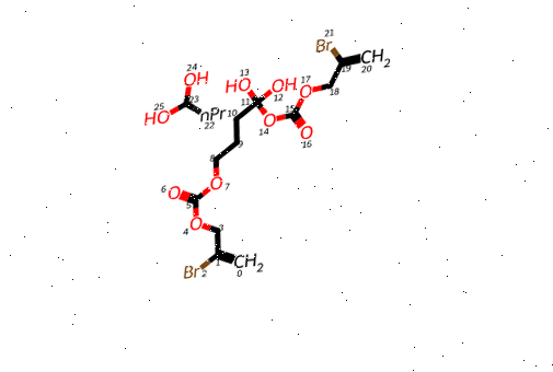 C=C(Br)COC(=O)OCCCC(O)(O)OC(=O)OCC(=C)Br.CCCC(O)O